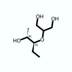 CC[C@H](OC(CO)CO)[C@@H](C)O